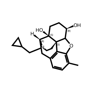 Cc1ccc2c3c1OC1[C@H](O)CC[C@@]4(O)[C@@H](C2)N(CC2CC2)CC[C@]314